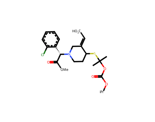 COC(=O)[C@H](c1ccccc1Cl)N1CCC(SC(C)(C)OC(=O)OC(C)C)/C(=C/C(=O)O)C1